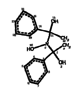 CC(O)(c1ccccc1)N(O)C(C)(O)c1ccccc1